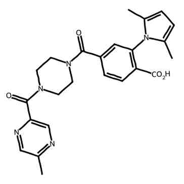 Cc1cnc(C(=O)N2CCN(C(=O)c3ccc(C(=O)O)c(-n4c(C)ccc4C)c3)CC2)cn1